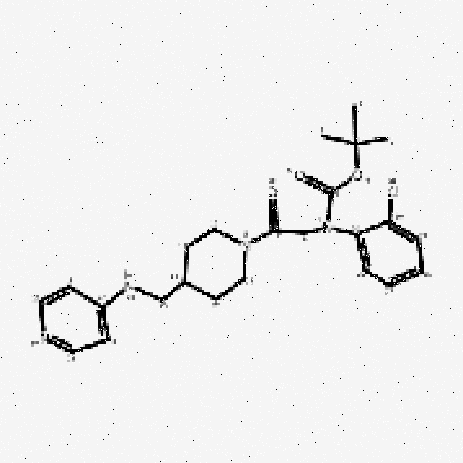 CC(C)(C)OC(=O)N(CC(=O)N1CCC(CNc2ccncc2)CC1)c1ccccc1Cl